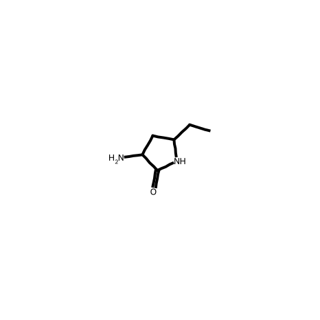 CCC1CC(N)C(=O)N1